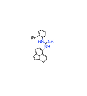 CC(C)c1ccccc1NC(=N)Nc1ccc2c3c(cccc13)C=C2